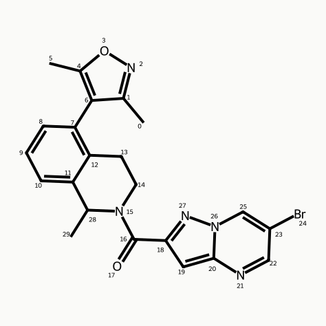 Cc1noc(C)c1-c1cccc2c1CCN(C(=O)c1cc3ncc(Br)cn3n1)C2C